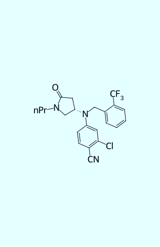 CCCN1C[C@@H](N(Cc2ccccc2C(F)(F)F)c2ccc(C#N)c(Cl)c2)CC1=O